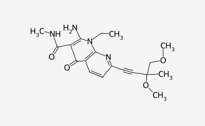 CCn1c(N)c(C(=O)NC)c(=O)c2ccc(C#CC(C)(COC)OC)nc21